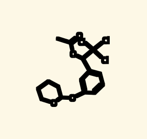 CC(=O)OC(c1cccc(OC2CCCCO2)c1)C(Cl)(Cl)Cl